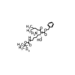 CC(C)C[C@@H](N)C(=O)N(C(=O)OCc1ccccc1)[C@H](CO)CCCCNC(=O)OC(C)(C)C